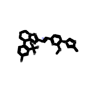 COc1nc(/C=C/c2nc3n(n2)CCCC3c2ccc(F)cc2C(F)(F)F)ccc1-n1cnc(C)c1